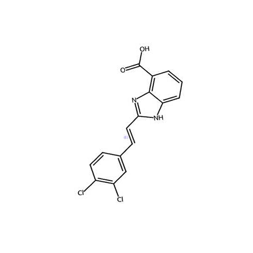 O=C(O)c1cccc2[nH]c(/C=C/c3ccc(Cl)c(Cl)c3)nc12